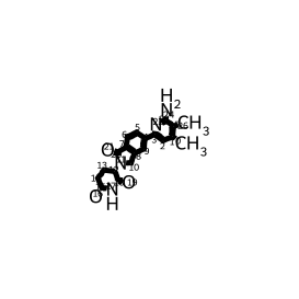 Cc1cc(-c2ccc3c(c2)CN(C2CCC(=O)NC2=O)C3=O)nc(N)c1C